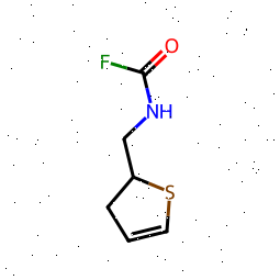 O=C(F)NCC1CC=CS1